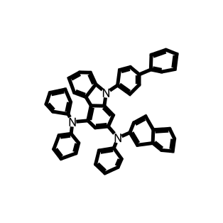 c1ccc(-c2ccc(-n3c4ccccc4c4c(N(c5ccccc5)c5ccccc5)cc(N(c5ccccc5)c5ccc6ccccc6c5)cc43)cc2)cc1